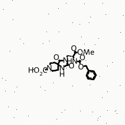 COC(=O)[C@H](CN1C(=O)NC2(CCN(C(=O)O)CC2)C1=O)NC(=O)OCc1ccccc1